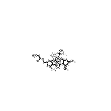 C=CC(=O)OCc1cc(C)c(C(=O)P(=O)(CC(C)CC(C)(C)C)C(=O)c2c(C)cc(C)cc2C)c(C)c1